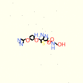 Nc1ncc(OC(=O)NCCO)c2scc(COc3cccc(OCc4cncnc4)c3)c12